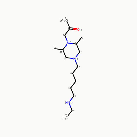 COC(=O)CN1C(C)CN(CCCCCNCC(F)(F)F)CC1C